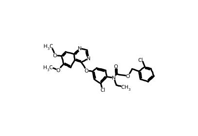 CCN(C(=O)OCc1ccccc1Cl)c1ccc(Oc2ncnc3cc(OC)c(OC)cc23)cc1Cl